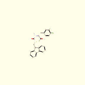 CN(C(=O)OCC1c2ccccc2-c2ccccc21)[C@@H](Cc1ccc(Cl)c(F)c1)C(=O)Cl